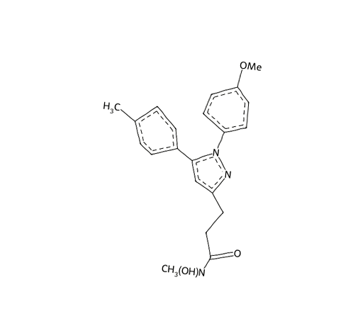 COc1ccc(-n2nc(CCC(=O)N(C)O)cc2-c2ccc(C)cc2)cc1